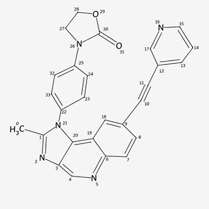 Cc1nc2cnc3ccc(C#Cc4cccnc4)cc3c2n1-c1ccc(N2CCOC2=O)cc1